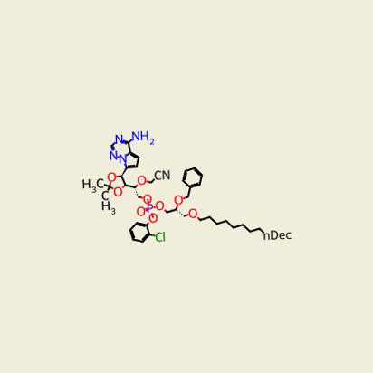 CCCCCCCCCCCCCCCCCCOC[C@H](COP(=O)(OC[C@@H](OCC#N)[C@H]1OC(C)(C)O[C@H]1c1ccc2c(N)ncnn12)Oc1ccccc1Cl)OCc1ccccc1